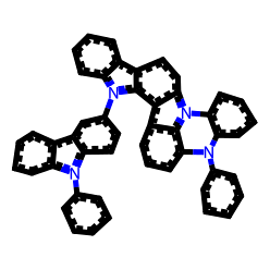 c1ccc(N2c3ccccc3-n3c4ccc5c6ccccc6n(-c6ccc7c(c6)c6ccccc6n7-c6ccccc6)c5c4c4cccc2c43)cc1